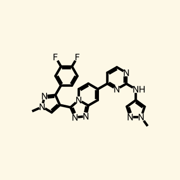 Cn1cc(Nc2nccc(-c3ccn4c(-c5cn(C)nc5-c5ccc(F)c(F)c5)nnc4c3)n2)cn1